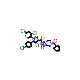 COc1c(C(=O)NN2CCN(C(=O)c3ccccc3)CC2)nn(-c2ccc(Cl)cc2Cl)c1-c1ccc(Cl)cc1